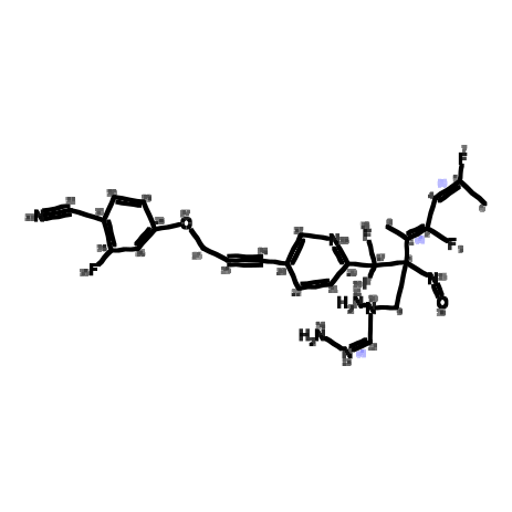 C/C(=C(F)\C=C(/C)F)C(CN(N)/C=N\N)(N=O)C(F)(F)c1ccc(C#CCOc2ccc(C#N)c(F)c2)cn1